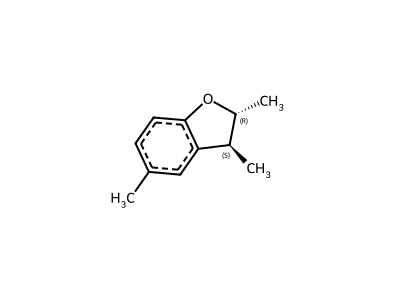 Cc1ccc2c(c1)[C@H](C)[C@@H](C)O2